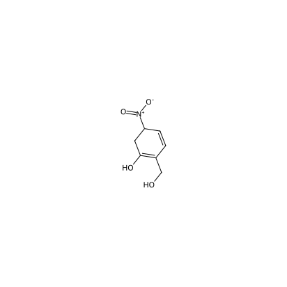 O=[N+]([O-])C1C=CC(CO)=C(O)C1